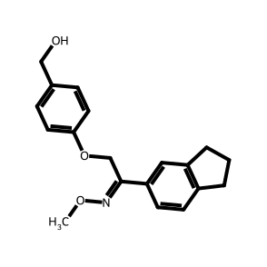 CON=C(COc1ccc(CO)cc1)c1ccc2c(c1)CCC2